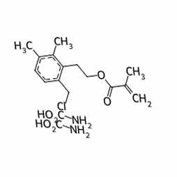 C=C(C)C(=O)OCCc1c(CCl)ccc(C)c1C.NC(=O)O.NC(=O)O